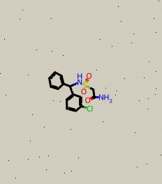 NC(=O)CS(=O)(=O)NC(c1ccccc1)c1cccc(Cl)c1